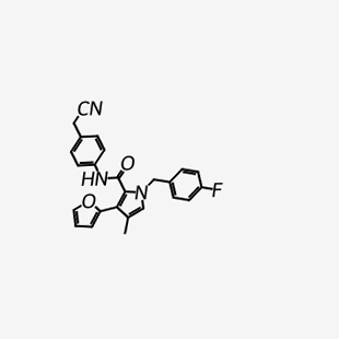 Cc1cn(Cc2ccc(F)cc2)c(C(=O)Nc2ccc(CC#N)cc2)c1-c1ccco1